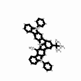 Cc1c2c3ccccc3n(-c3ccccc3)c2cc2c3cc(C(C)(C)C)cc4c5cc6c(cc5n(c12)c43)c1ccccc1n6-c1ccccc1